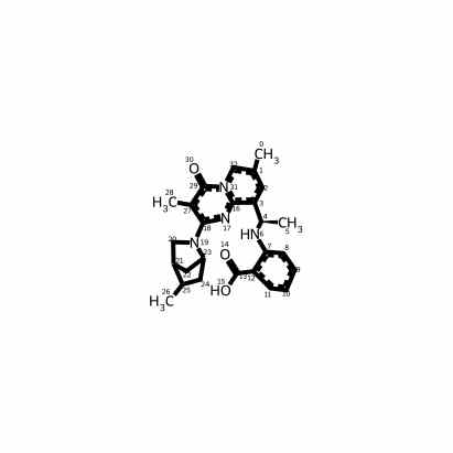 Cc1cc([C@@H](C)Nc2ccccc2C(=O)O)c2nc(N3CC4CC3CC4C)c(C)c(=O)n2c1